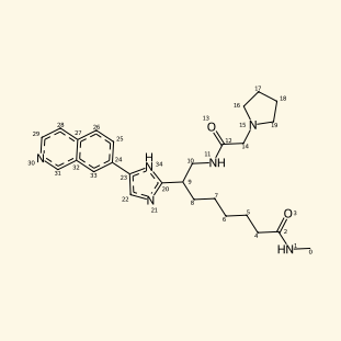 CNC(=O)CCCCCC(CNC(=O)CN1CCCC1)c1ncc(-c2ccc3ccncc3c2)[nH]1